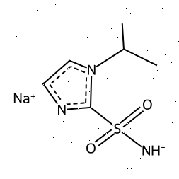 CC(C)n1ccnc1S([NH-])(=O)=O.[Na+]